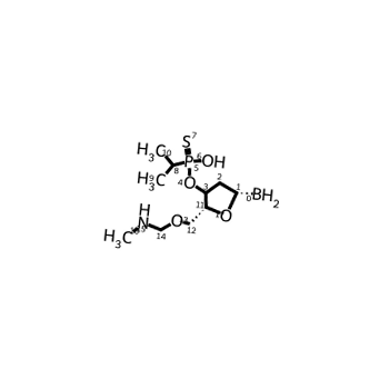 B[C@H]1CC(OP(O)(=S)C(C)C)[C@@H](COCNC)O1